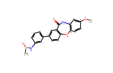 C[S+]([O-])Nc1cccc(-c2ccc3c(c2)C(=O)Nc2cc(OC(F)(F)F)ccc2O3)c1